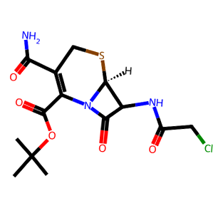 CC(C)(C)OC(=O)C1=C(C(N)=O)CS[C@H]2C(NC(=O)CCl)C(=O)N12